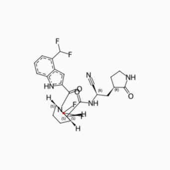 N#C[C@@H](C[C@H]1CCNC1=O)NC(=O)[C@@H]1[C@@H]2CC[C@@H](CC2(F)F)N1C(=O)c1cc2c(C(F)F)cccc2[nH]1